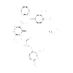 Cc1ccc([C@H](CNc2ncc3n(c2=O)[C@H](C(=O)NCc2ccc(N)nc2C)CC3)c2ccccn2)cc1C.Cl.Cl.Cl